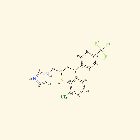 FC(F)(F)c1ccc(CCC(Cn2ccnc2)Sc2ccccc2Cl)cc1